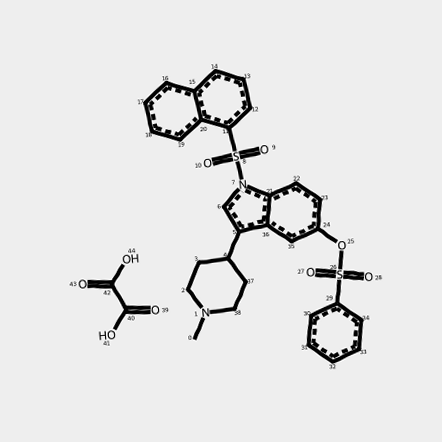 CN1CCC(c2cn(S(=O)(=O)c3cccc4ccccc34)c3ccc(OS(=O)(=O)c4ccccc4)cc23)CC1.O=C(O)C(=O)O